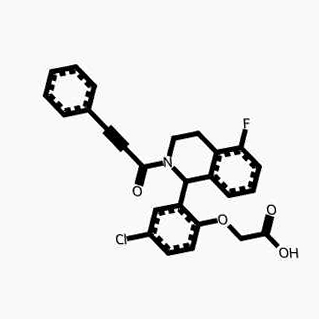 O=C(O)COc1ccc(Cl)cc1C1c2cccc(F)c2CCN1C(=O)C#Cc1ccccc1